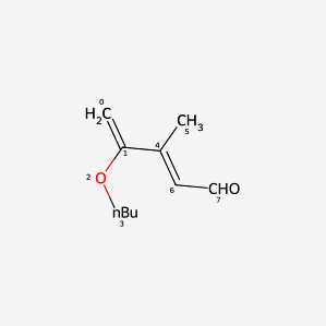 C=C(OCCCC)C(C)=CC=O